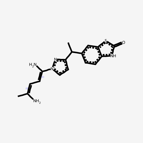 C/C(N)=C/C=C(\N)n1ccc(C(C)c2ccc3[nH]c(=O)sc3c2)n1